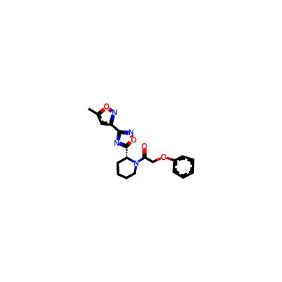 Cc1cc(-c2noc([C@H]3CCCCN3C(=O)COc3ccccc3)n2)no1